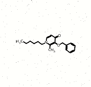 CCCCCCn1ccc(=O)c(OCc2ccccc2)c1C